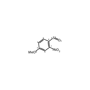 COc1ccc([S+]=O)c([N+](=O)[O-])c1